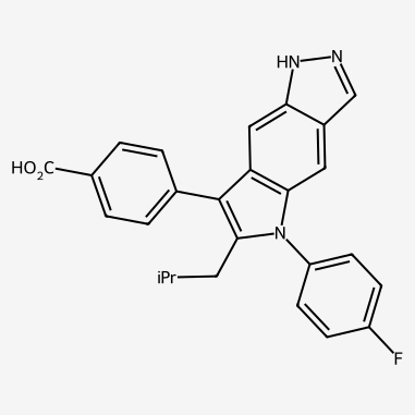 CC(C)Cc1c(-c2ccc(C(=O)O)cc2)c2cc3[nH]ncc3cc2n1-c1ccc(F)cc1